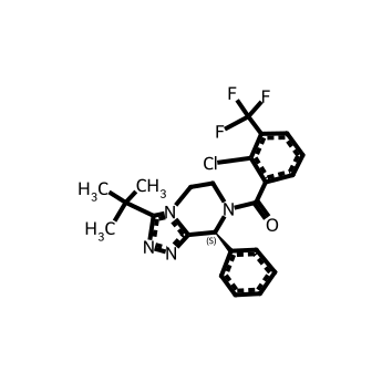 CC(C)(C)c1nnc2n1CCN(C(=O)c1cccc(C(F)(F)F)c1Cl)[C@H]2c1ccccc1